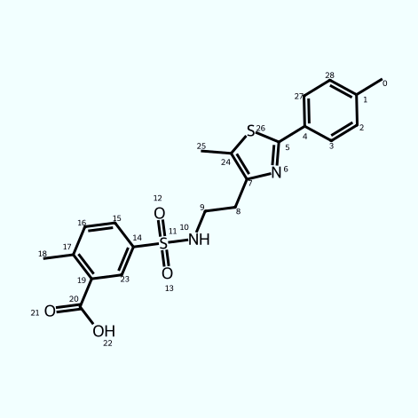 Cc1ccc(-c2nc(CCNS(=O)(=O)c3ccc(C)c(C(=O)O)c3)c(C)s2)cc1